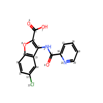 O=C(Nc1c(C(=O)O)oc2ccc(Cl)cc12)c1ccccn1